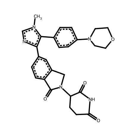 Cn1cnc(-c2ccc3c(c2)CN(C2CCC(=O)NC2=O)C3=O)c1-c1ccc(N2CCOCC2)cc1